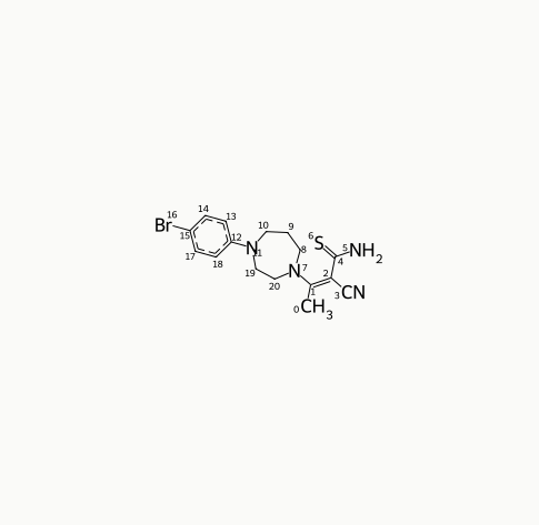 CC(=C(C#N)C(N)=S)N1CCCN(c2ccc(Br)cc2)CC1